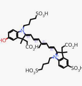 CC(/C=C/C=C1/N(CCCCS(=O)(=O)O)c2ccc(O)cc2C1(C)CC(=O)O)=C\C=C\C1=[N+](CCCCS(=O)(=O)O)c2ccc(S(=O)(=O)O)cc2C1(C)CC(=O)O